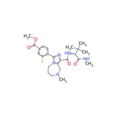 CNC(=O)[C@@H](NC(=O)c1nc(-c2ccc(C(=O)OC)cc2F)n2c1CN(C)CCC2)C(C)(C)C